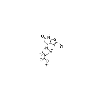 C[C@@H]1CN(c2cc(=O)n(C)c3sc(CCl)nc23)[C@@H](C)CN1C(=O)OC(C)(C)C